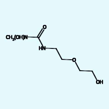 CN(O)C(=O)NCCOCCO